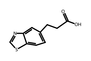 O=C(O)CCc1ccc2scnc2c1